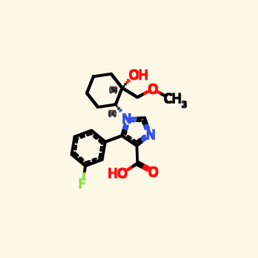 COC[C@]1(O)CCCC[C@H]1n1cnc(C(=O)O)c1-c1cccc(F)c1